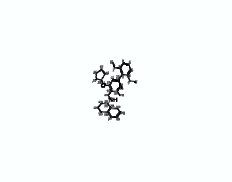 CCc1cccc(CC)c1-c1cc(OC2CCCC2)c(CN[C@H]2CCCc3ccccc32)c(C)n1